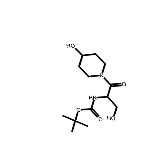 CC(C)(C)OC(=O)NC(CO)C(=O)N1CCC(O)CC1